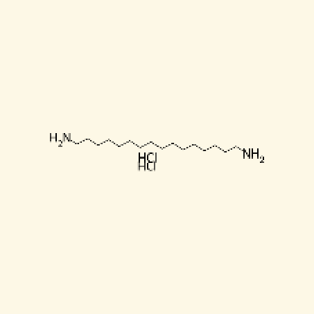 Cl.Cl.NCCCCCCCCCCCCCCCCN